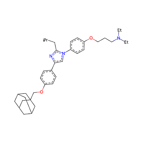 CCN(CC)CCCOc1ccc(-n2cc(-c3ccc(OCC45CC6CC(CC(C6)C4)C5)cc3)nc2CC(C)C)cc1